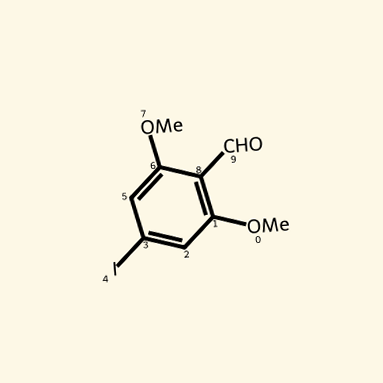 COc1cc(I)cc(OC)c1C=O